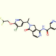 CC(c1cnc(OCC(F)F)c(Cl)c1)N1Cc2c(ccnc2NC(=O)c2cccnc2)C1=O